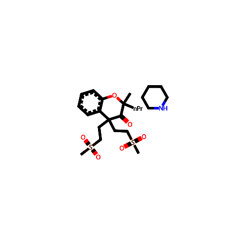 C1CCNCC1.CCCC1(C)Oc2ccccc2C(CCS(C)(=O)=O)(CCS(C)(=O)=O)C1=O